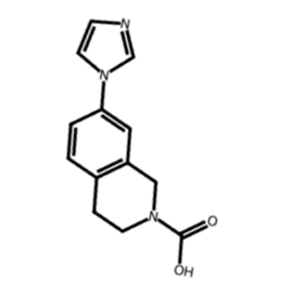 O=C(O)N1CCc2ccc(-n3ccnc3)cc2C1